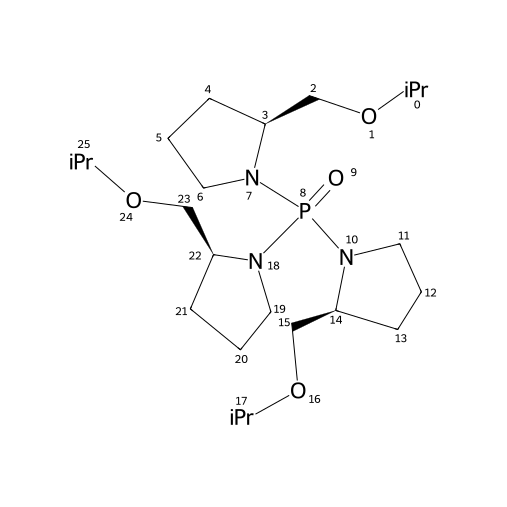 CC(C)OC[C@@H]1CCCN1P(=O)(N1CCC[C@H]1COC(C)C)N1CCC[C@H]1COC(C)C